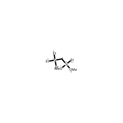 CC[Si](CC)(CC)C[Si](CC)(OC)OC